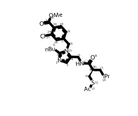 CCCCc1ncc(CNC(=O)[C@H](CSC(C)=O)CC(C)C)n1Cc1ccc(C(=O)OC)c(Cl)c1